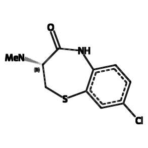 CN[C@H]1CSc2cc(Cl)ccc2NC1=O